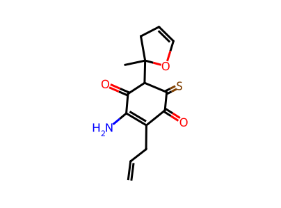 C=CCC1=C(N)C(=O)C(C2(C)CC=CO2)C(=S)C1=O